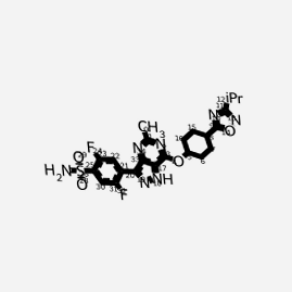 Cc1nc(OC2CCC(c3nc(C(C)C)no3)CC2)c2[nH]nc(-c3cc(F)c(S(N)(=O)=O)cc3F)c2n1